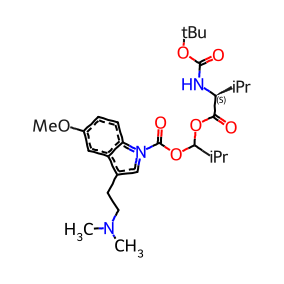 COc1ccc2c(c1)c(CCN(C)C)cn2C(=O)OC(OC(=O)[C@@H](NC(=O)OC(C)(C)C)C(C)C)C(C)C